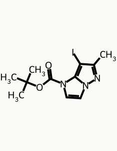 Cc1nn2ccn(C(=O)OC(C)(C)C)c2c1I